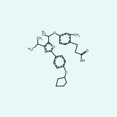 Cc1cc(OC(C)c2oc(-c3ccc(OC4CCCC4)cc3)nc2C(C)C)ccc1CCC(=O)O